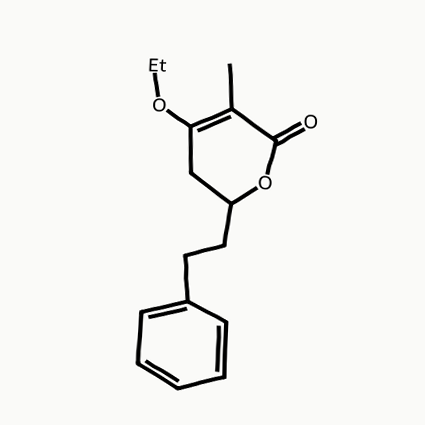 CCOC1=C(C)C(=O)OC(CCc2ccccc2)C1